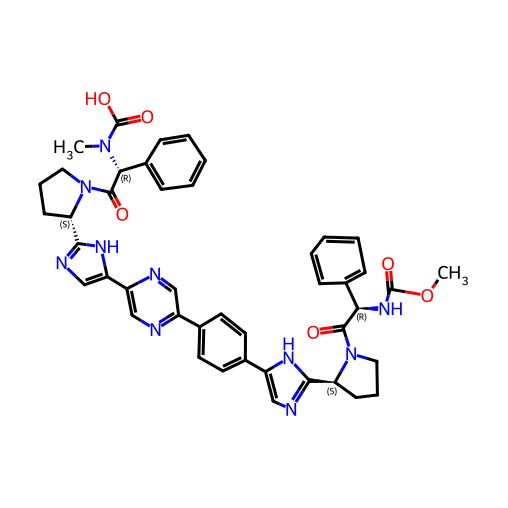 COC(=O)N[C@@H](C(=O)N1CCC[C@H]1c1ncc(-c2ccc(-c3cnc(-c4cnc([C@@H]5CCCN5C(=O)[C@@H](c5ccccc5)N(C)C(=O)O)[nH]4)cn3)cc2)[nH]1)c1ccccc1